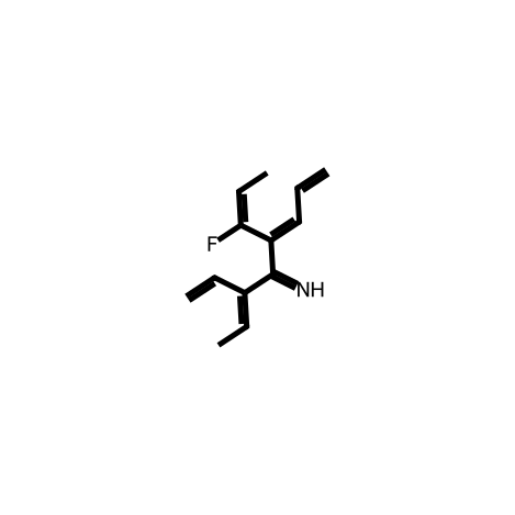 C=C/C=C(C(=N)/C(C=C)=C/C)\C(F)=C/C